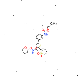 COCCOC(=O)Nc1cccc(-c2ccc([C@@]3(CC(=O)NOC4CCCCO4)CCCCS3(=O)=O)s2)c1